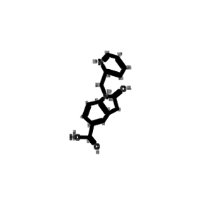 O=C(O)c1ccc2c(c1)CC(=O)N2Cc1ccccn1